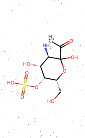 CC(=O)C1(O)O[C@H](CO)[C@H](OS(=O)(=O)O)[C@H](O)[C@H]1N